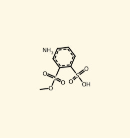 COS(=O)(=O)c1ccccc1S(=O)(=O)O.N